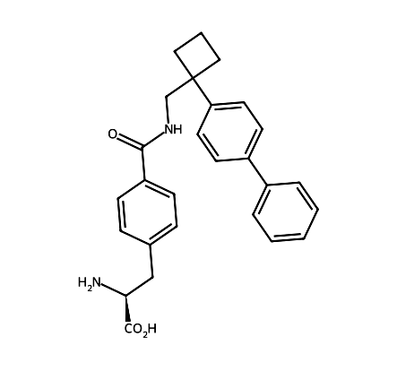 N[C@@H](Cc1ccc(C(=O)NCC2(c3ccc(-c4ccccc4)cc3)CCC2)cc1)C(=O)O